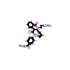 COCCN1C(=O)c2ccccc2C(C(=O)Nc2ccc(C(=O)OC)cc2)C1c1cccs1